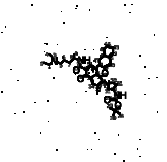 CCN(CC)CCCC(C)NC(=O)c1cn2c3c(c(N4CCC(NC(=O)OC(C)(C)C)C4)c(F)cc3c1=O)Oc1cc3ccccc3cc1-2